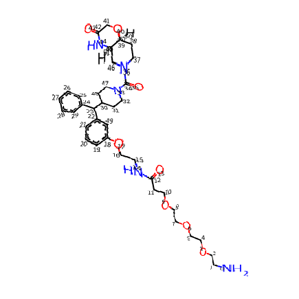 NCCOCCOCCOCCC(=O)NCCOc1cccc(C(c2ccccc2)C2CCN(C(=O)N3CC[C@@H]4OCC(=O)N[C@@H]4C3)CC2)c1